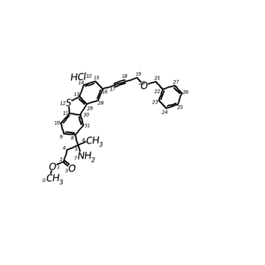 COC(=O)CC(C)(N)c1ccc2sc3ccc(C#CCOCc4ccccc4)cc3c2c1.Cl